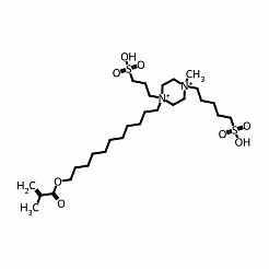 C=C(C)C(=O)OCCCCCCCCCCC[N+]1(CCCS(=O)(=O)O)CC[N+](C)(CCCCCS(=O)(=O)O)CC1